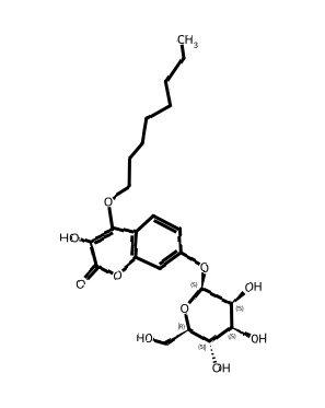 CCCCCCCCOc1c(O)c(=O)oc2cc(O[C@@H]3O[C@H](CO)[C@@H](O)[C@H](O)[C@@H]3O)ccc12